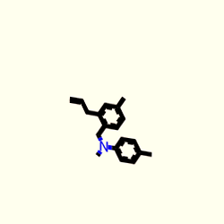 C=CCc1cc(C)ccc1CN(C)c1ccc(C)cc1